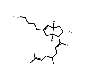 CC(C)=CCC(C)CC=C(O)[C@H]1[C@@H]2CC(CCOCC(=O)O)=C[C@@H]2C[C@@H]1O